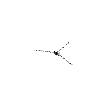 CCCCCCCCCCCCCCCCCCN1C=CN(CCCCCCCCCCCCCCC)C1CCCCCCCCCCC